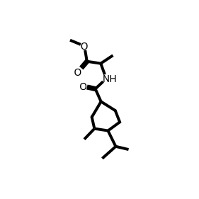 COC(=O)C(C)NC(=O)C1CCC(C(C)C)C(C)C1